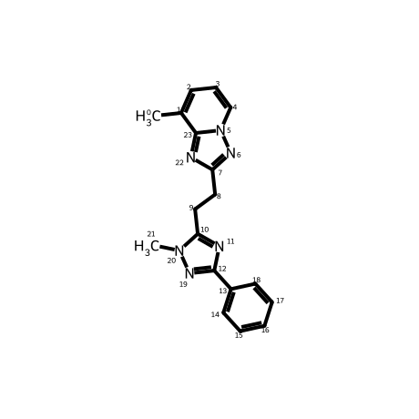 Cc1cccn2nc(CCc3nc(-c4ccccc4)nn3C)nc12